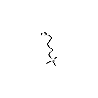 CCCCC[CH]OC[Si](C)(C)C